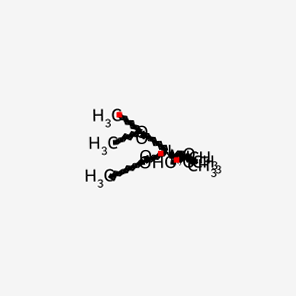 CCCCCCCCCCCOC(=O)CCCCCN(CCCCCCCC(=O)OC(CCCCCCCC)CCCCCCCC)CCN1CCN(C(=O)OC(C)(C)C)C[C@@H]1CO